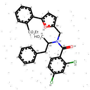 CCOC(=O)c1ccccc1-c1ccc(CN(C(=O)c2ccc(Cl)cc2Cl)C(Cc2ccccc2)C(=O)O)o1